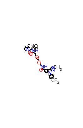 Cn1cc2c3cc(C(=O)NCCOCCOCCC(=O)NC(C(=O)N4CCCC4C=O)C(C)(C)C)ccc3n(-c3ccc(C(F)(F)F)cc3)c2n1